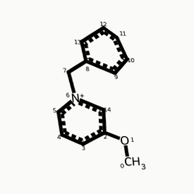 COc1ccc[n+](Cc2ccccc2)c1